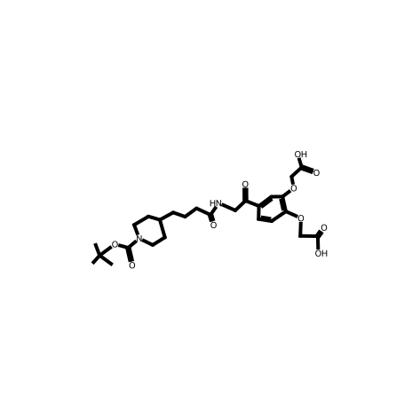 CC(C)(C)OC(=O)N1CCC(CCCC(=O)NCC(=O)c2ccc(OCC(=O)O)c(OCC(=O)O)c2)CC1